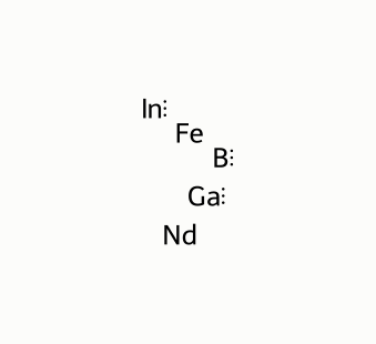 [B].[Fe].[Ga].[In].[Nd]